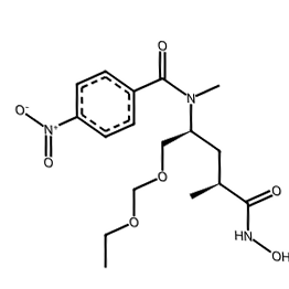 CCOCOC[C@H](C[C@H](C)C(=O)NO)N(C)C(=O)c1ccc([N+](=O)[O-])cc1